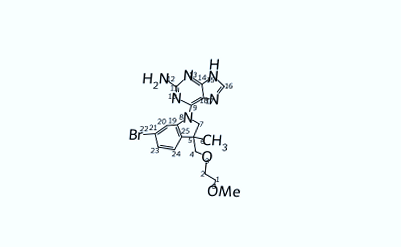 COCCOCC1(C)CN(c2nc(N)nc3[nH]cnc23)c2cc(Br)ccc21